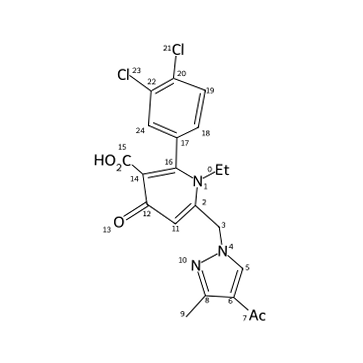 CCn1c(Cn2cc(C(C)=O)c(C)n2)cc(=O)c(C(=O)O)c1-c1ccc(Cl)c(Cl)c1